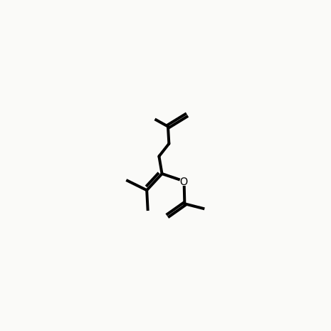 C=C(C)CCC(OC(=C)C)=C(C)C